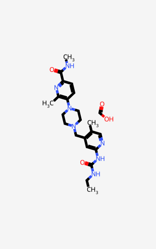 CCNC(=O)Nc1cc(CN2CCN(c3ccc(C(=O)NC)nc3C)CC2)c(C)cn1.O=CO